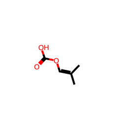 CC(C)=COC(=O)O